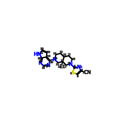 CCC12CN(c3nc(C#N)cs3)CCC1CCN(c1ncnc3[nH]ccc13)C2